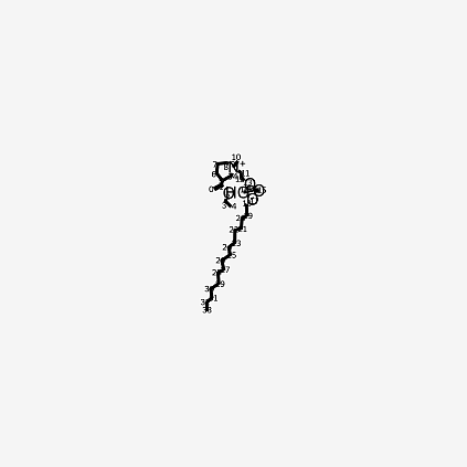 C=C(OCC)C1CCC[N+](C)(CCOP(=O)(O)OCCCCCCCCCCCCCCCC)C1